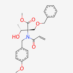 C=CC(=O)N(Cc1ccc(OC)cc1)[C@@](COCc1ccccc1)(C(=O)OC)[C@@H](C)O